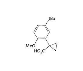 COc1ccc(C(C)(C)C)cc1C1(C(=O)O)CC1